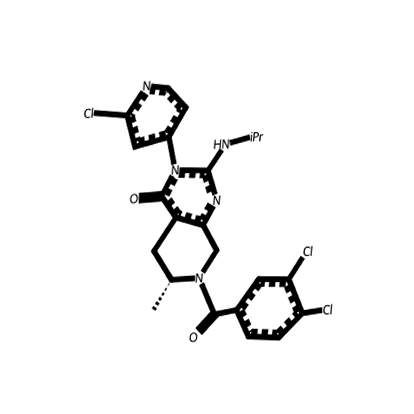 CC(C)Nc1nc2c(c(=O)n1-c1ccnc(Cl)c1)C[C@@H](C)N(C(=O)c1ccc(Cl)c(Cl)c1)C2